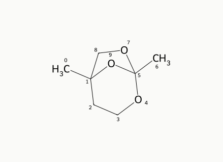 CC12CCOC(C)(OC1)O2